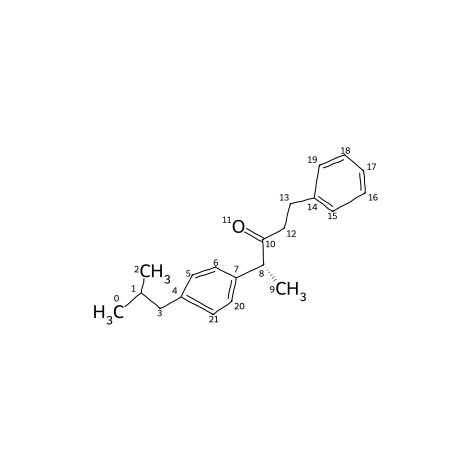 CC(C)Cc1ccc([C@@H](C)C(=O)CCc2ccccc2)cc1